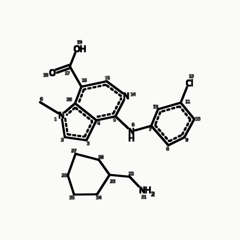 Cn1ccc2c(Nc3cccc(Cl)c3)ncc(C(=O)O)c21.NCC1CCCCC1